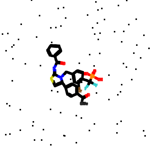 COC(=O)c1ccc(-c2csc(=NC(=O)c3ccccc3)n2Cc2ccc(C(F)(F)P(=O)(O)O)c(Br)c2)cc1